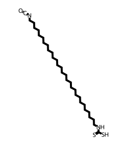 O=C=NCCCCCCCCCCCCCCCCCCCCCCCCCCCCCNC(=S)S